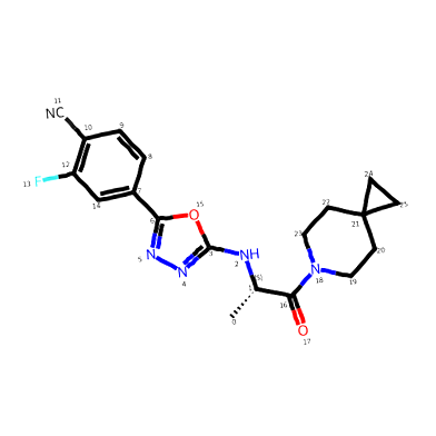 C[C@H](Nc1nnc(-c2ccc(C#N)c(F)c2)o1)C(=O)N1CCC2(CC1)CC2